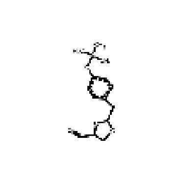 C[Si](C)(C)Oc1ccc(CC2OCC(C=O)O2)cc1